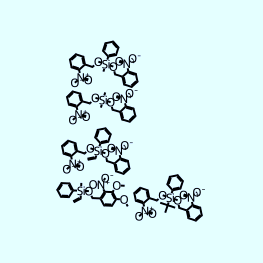 C=C[Si](C)(OCc1ccc(OC)c(OC)c1[N+](=O)[O-])c1ccccc1.C=C[Si](OCc1ccccc1[N+](=O)[O-])(OCc1ccccc1[N+](=O)[O-])c1ccccc1.CC(C)(C)[Si](OCc1ccccc1[N+](=O)[O-])(OCc1ccccc1[N+](=O)[O-])c1ccccc1.C[Si](C)(OCc1ccccc1[N+](=O)[O-])OCc1ccccc1[N+](=O)[O-].C[Si](OCc1ccccc1[N+](=O)[O-])(OCc1ccccc1[N+](=O)[O-])c1ccccc1